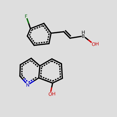 OBC=Cc1cccc(F)c1.Oc1cccc2cccnc12